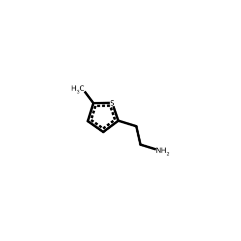 Cc1ccc(CCN)s1